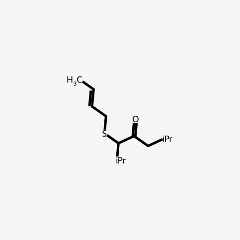 C/C=C/CSC(C(=O)CC(C)C)C(C)C